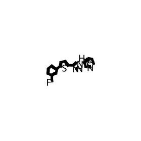 FCc1cccc(-c2ccc(-c3cn([C@H]4CN5CCC4CC5)nn3)s2)c1